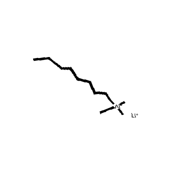 CCCCCCC[CH2][Al-]([CH3])([CH3])[CH3].[Li+]